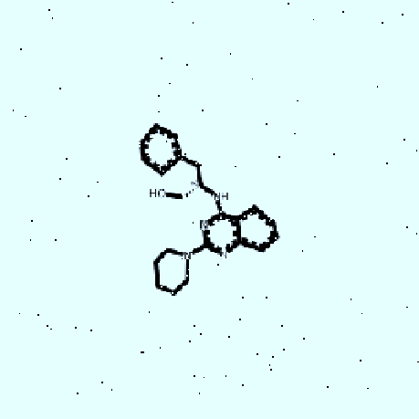 OC[C@H](Cc1ccccc1)Nc1nc(N2CCCCC2)nc2ccccc12